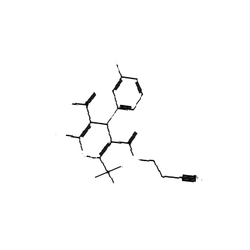 CC1=C(C(=O)O)C(c2cccc(Cl)c2)C(C(=O)OCCC#N)=C(C(F)(F)F)N1